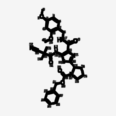 COc1ccc(CNC(=O)c2nc([C@H]3CCCN3C(=O)OCc3ccccc3)sc2NC(=O)C(C)(C)C#N)c(OC)c1